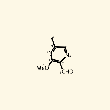 COc1nc(C)cnc1C=O